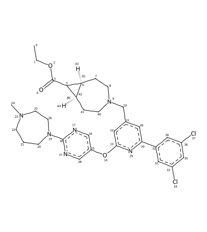 CCOC(=O)C1[C@H]2CCN(Cc3cc(Oc4cnc(N5CCCN(C)CC5)nc4)nc(-c4cc(Cl)cc(Cl)c4)c3)CC[C@@H]12